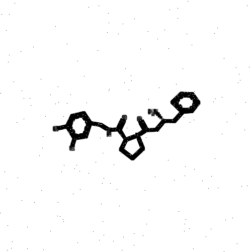 N[C@@H](CC(=O)N1CCC[C@H]1C(=O)NCc1ccc(Cl)c(Cl)c1)Cc1ccccc1